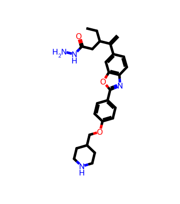 C=C(c1ccc2nc(-c3ccc(OCC4CCNCC4)cc3)oc2c1)C(CC)CC(=O)NN